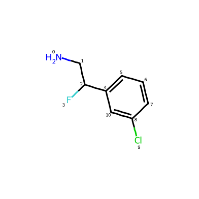 NCC(F)c1cccc(Cl)c1